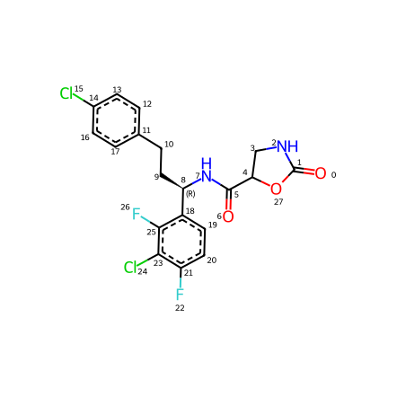 O=C1NCC(C(=O)N[C@H](CCc2ccc(Cl)cc2)c2ccc(F)c(Cl)c2F)O1